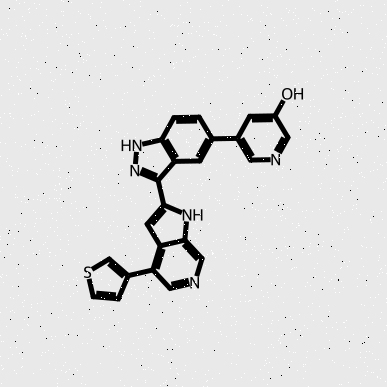 Oc1cncc(-c2ccc3[nH]nc(-c4cc5c(-c6ccsc6)cncc5[nH]4)c3c2)c1